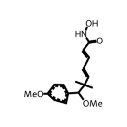 COc1ccc(C(OC)C(C)(C)C=CC=CC(=O)NO)cc1